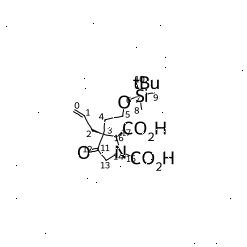 C=CC[C@]1(CCO[Si](C)(C)C(C)(C)C)C(=O)CN(C(=O)O)[C@@H]1C(=O)O